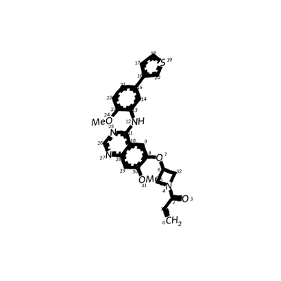 C=CC(=O)N1CC(Oc2cc3c(Nc4cc(-c5ccsc5)ccc4OC)ncnc3cc2OC)C1